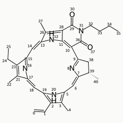 C=Cc1c(C)c2cc3nc(c4c5[nH]c(cc6nc(cc1[nH]2)C(C)=C6CC)c(C)c5C(=O)N(CCCC)C4=O)C[C@@H]3C